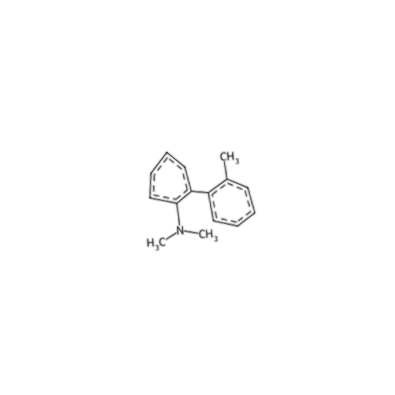 Cc1ccccc1-c1ccccc1N(C)C